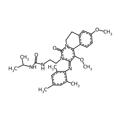 COc1ccc2c(c1)CCn1c-2c(OC)c(=Nc2c(C)cc(C)cc2C)n(CCNC(=O)NC(C)C)c1=O